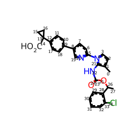 Cc1ccn(-c2ccc(-c3ccc(C4(C(=O)O)CC4)cc3)cn2)c1NC(=O)OC(C)c1ccccc1Cl